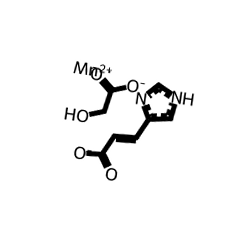 O=C([O-])C=Cc1c[nH]cn1.O=C([O-])CO.[Mn+2]